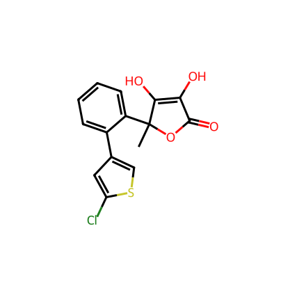 CC1(c2ccccc2-c2csc(Cl)c2)OC(=O)C(O)=C1O